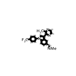 CNSc1ccc2c(c1)c(-c1nccnc1C)cn2-c1ccc(C(F)(F)F)cc1